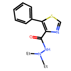 CCN(CC)NC(=O)c1ncsc1-c1ccccc1